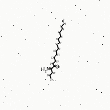 CCCCCCCCCCCCCCCC(=O)C(N)CCC